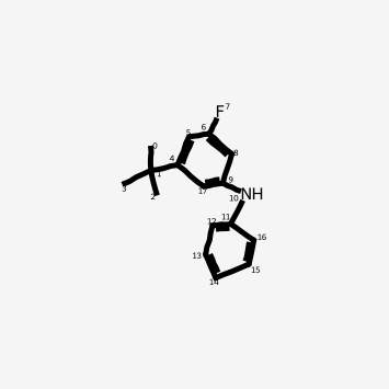 CC(C)(C)c1cc(F)cc(Nc2ccccc2)c1